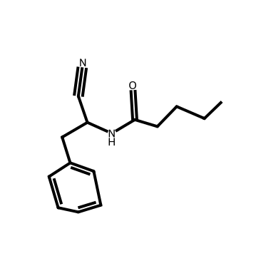 CCCCC(=O)NC(C#N)Cc1ccccc1